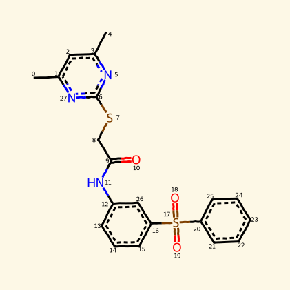 Cc1cc(C)nc(SCC(=O)Nc2cccc(S(=O)(=O)c3ccccc3)c2)n1